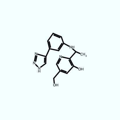 CC(Nc1cccc(-c2c[nH]nn2)c1)c1ncc(CO)cc1O